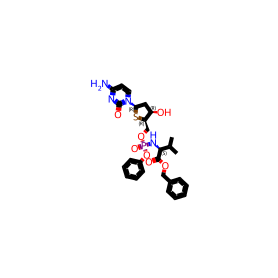 CC(C)[C@H](NP(=O)(OC[C@H]1S[C@@H](n2ccc(N)nc2=O)C[C@H]1O)Oc1ccccc1)C(=O)OCc1ccccc1